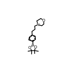 CC1(C)OB(c2ccc(CCCN3CCOCC3)cc2)OC1(C)C